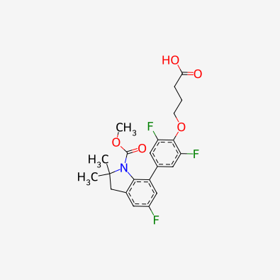 COC(=O)N1c2c(cc(F)cc2-c2cc(F)c(OCCCC(=O)O)c(F)c2)CC1(C)C